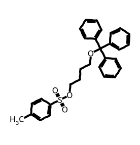 Cc1ccc(S(=O)(=O)OCCCCOC(c2ccccc2)(c2ccccc2)c2ccccc2)cc1